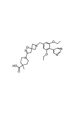 CCOc1cc(CN2CC3(CC(N4CCC(C)(C(=O)O)CC4)=NO3)C2)cc(OCC)c1-c1cncnc1